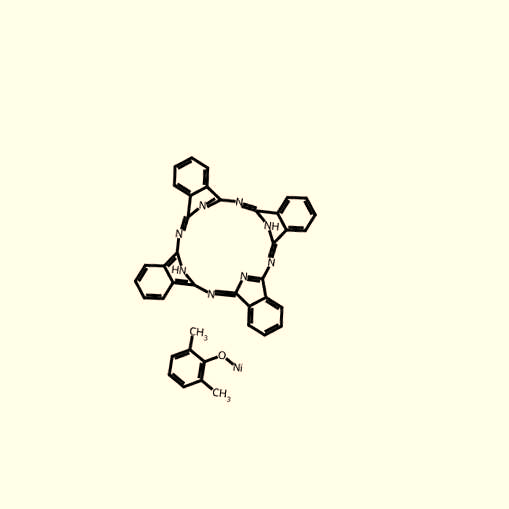 Cc1cccc(C)c1[O][Ni].c1ccc2c(c1)-c1nc-2nc2[nH]c(nc3nc(nc4[nH]c(n1)c1ccccc41)-c1ccccc1-3)c1ccccc21